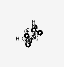 COc1cc(C)c(S(=O)(=O)N2CCCCC2CCOCC(=O)N2CCc3[nH]cnc3C2c2ccccc2)c(C)c1